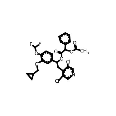 CC(=O)OC(C(=O)OC(Cc1c(Cl)cncc1Cl)c1ccc(OC(F)F)c(OCC2CC2)c1)c1ccccc1